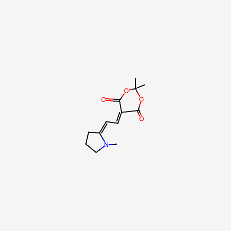 CN1CCC/C1=C/C=C1C(=O)OC(C)(C)OC1=O